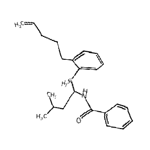 C=CCCCc1ccccc1[SiH2]C(CC(C)C)NC(=O)c1ccccc1